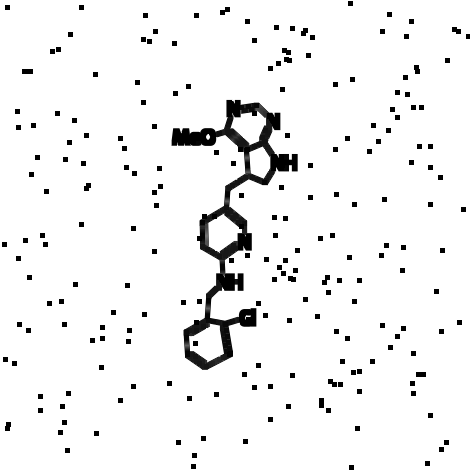 COc1ncnc2c1C(Cc1ccc(NCc3ccccc3Cl)nc1)CN2